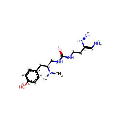 CN(C)[C@H](CNC(=O)NCC/C(=C/N)N=N)Cc1ccc(O)cc1